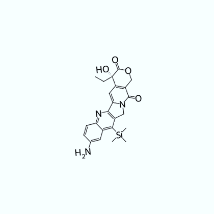 CC[C@@]1(O)C(=O)OCc2c1cc1n(c2=O)Cc2c-1nc1ccc(N)cc1c2[Si](C)(C)C